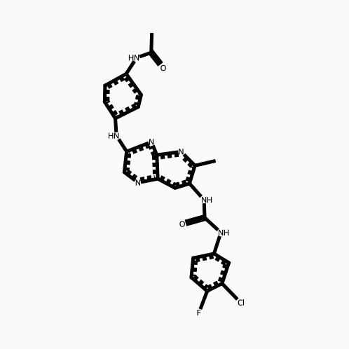 CC(=O)Nc1ccc(Nc2cnc3cc(NC(=O)Nc4ccc(F)c(Cl)c4)c(C)nc3n2)cc1